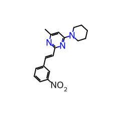 Cc1cc(N2CCCCC2)nc(C=Cc2cccc([N+](=O)[O-])c2)n1